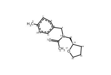 CC(=O)N(Cc1ccc(C)nc1)C[C@H]1CCCO1